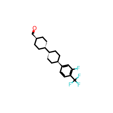 O=C[C@H]1CC[C@H]([C@H]2CC[C@H](c3ccc(C(F)(F)F)c(F)c3)CC2)CC1